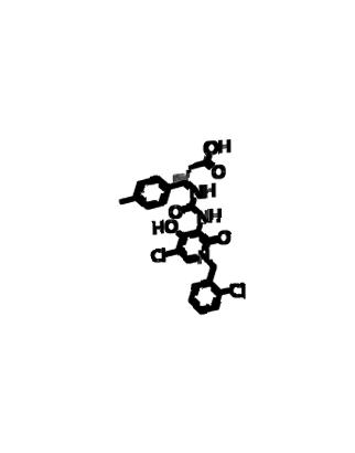 Cc1ccc([C@H](CC(=O)O)NC(=O)Nc2c(O)c(Cl)cn(Cc3ccccc3Cl)c2=O)cc1